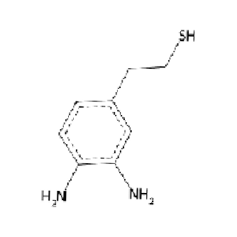 Nc1ccc(CCS)cc1N